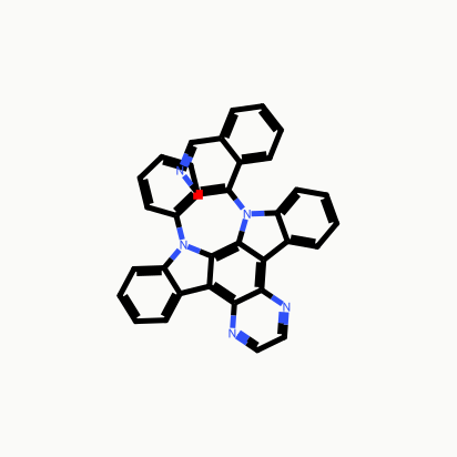 c1ccc(-n2c3ccccc3c3c4nccnc4c4c5ccccc5n(-c5cncc6ccccc56)c4c32)cc1